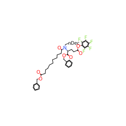 CCCCCCCCCCCN(C(=O)CCCCCCCCCC(=O)OCc1ccccc1)C(CCC(=O)Oc1c(F)c(F)c(F)c(F)c1F)C(=O)OCc1ccccc1